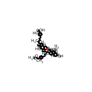 CC[C@H]1[C@@H](O)[C@@H]2[C@H](CC[C@]3(C)[C@@H]([C@@H](C/C=C/c4ccc(C(C)C(=O)OC)cc4)CCC[C@H]4[C@@H](O)[C@@H]5[C@H](CC[C@]6(C)[C@@H]([C@H](C)CCCc7ccc(C(=O)O)c(O)c7)CC[C@@H]56)[C@@]5(C)CC[C@@H](O)C[C@@H]45)CC[C@@H]23)[C@@]2(C)CC[C@@H](O)C[C@@H]12